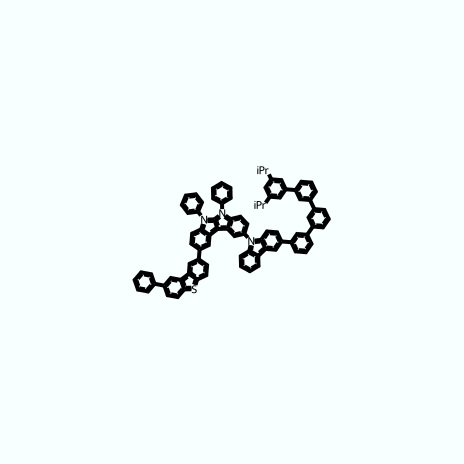 CC(C)c1cc(-c2cccc(-c3cccc(-c4cccc(-c5ccc6c(c5)c5ccccc5n6-c5ccc6c(c5)c5c7cc(-c8ccc9sc%10ccc(-c%11ccccc%11)cc%10c9c8)ccc7n(-c7ccccc7)c5n6-c5ccccc5)c4)c3)c2)cc(C(C)C)c1